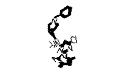 Cc1cc(C)n(-c2nc(Cl)cc(NC3C4CN(Cc5ccccc5)CC43)n2)n1